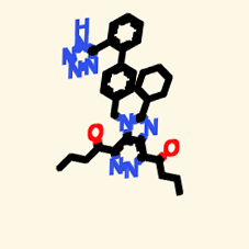 CCCC(=O)c1nnc(C(=O)CCC)c2c1nc(C1CCCCC1)n2Cc1ccc(-c2ccccc2-c2nnn[nH]2)cc1